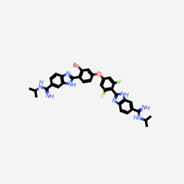 CC(C)NC(=N)c1ccc2nc(-c3ccc(Oc4cc(F)c(-c5nc6ccc(C(=N)NC(C)C)cc6[nH]5)c(F)c4)cc3Br)[nH]c2c1